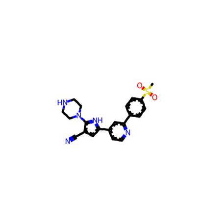 CS(=O)(=O)c1ccc(-c2cc(-c3cc(C#N)c(N4CCNCC4)[nH]3)ccn2)cc1